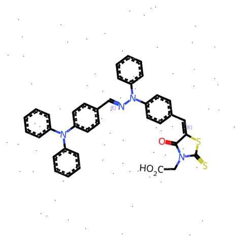 O=C(O)CN1C(=O)/C(=C\c2ccc(N(/N=C/c3ccc(N(c4ccccc4)c4ccccc4)cc3)c3ccccc3)cc2)SC1=S